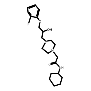 O=C(CN1CCN(CC(O)COc2ccccc2F)CC1)NC1CCCCC1